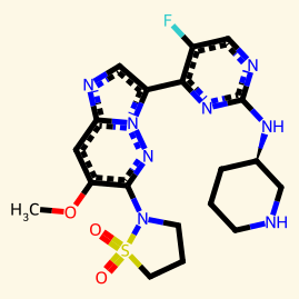 COc1cc2ncc(-c3nc(N[C@@H]4CCCNC4)ncc3F)n2nc1N1CCCS1(=O)=O